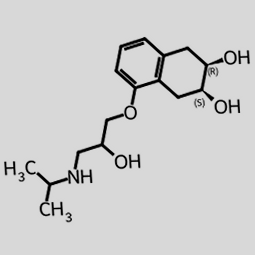 CC(C)NCC(O)COc1cccc2c1C[C@H](O)[C@H](O)C2